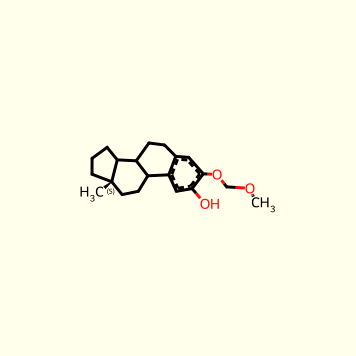 COCOc1cc2c(cc1O)C1CC[C@]3(C)CCCC3C1CC2